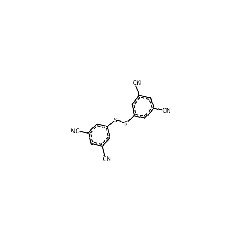 N#Cc1cc(C#N)cc(SSc2cc(C#N)cc(C#N)c2)c1